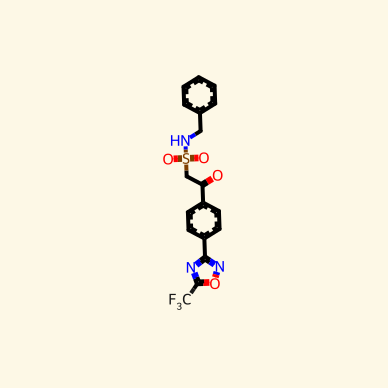 O=C(CS(=O)(=O)NCc1ccccc1)c1ccc(-c2noc(C(F)(F)F)n2)cc1